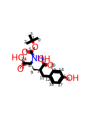 CC(C)(C)OC(=O)N[C@H](C[C@H](Cc1ccc(O)cc1)C(=O)O)C(=O)O